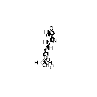 CC(C)(C)OC(=O)N1CCC(CNCCNc2cncc(C3CCC(=O)NC3=O)c2)CC1